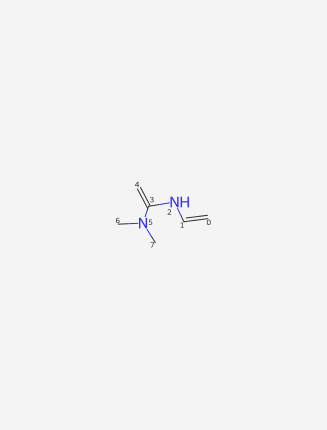 C=CNC(=C)N(C)C